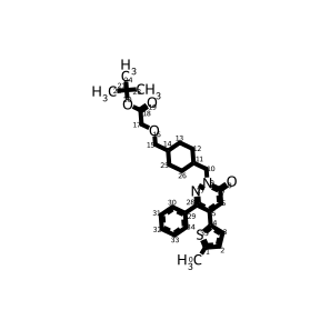 Cc1ccc(-c2cc(=O)n(CC3CCC(COCC(=O)OC(C)(C)C)CC3)nc2-c2ccccc2)s1